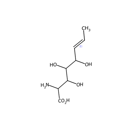 C/C=C/C(O)C(O)C(O)C(N)C(=O)O